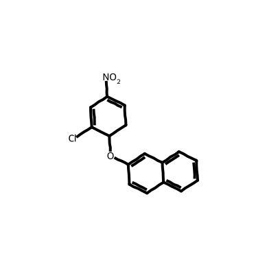 O=[N+]([O-])C1=CCC(Oc2ccc3ccccc3c2)C(Cl)=C1